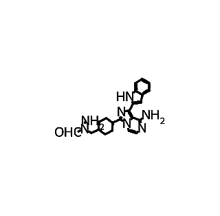 Nc1nccn2c(C3CCC(CN(N)C=O)CC3)nc(-c3cc4ccccc4[nH]3)c12